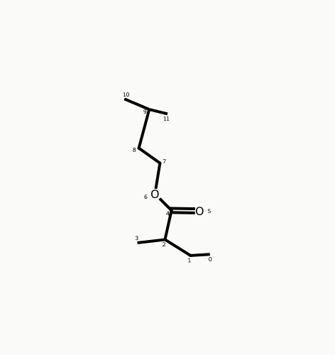 CCC(C)C(=O)OCCC(C)C